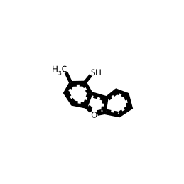 Cc1ccc2oc3ccccc3c2c1S